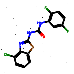 O=C(Nc1nc2c(Cl)cccc2s1)Nc1cc(F)ccc1F